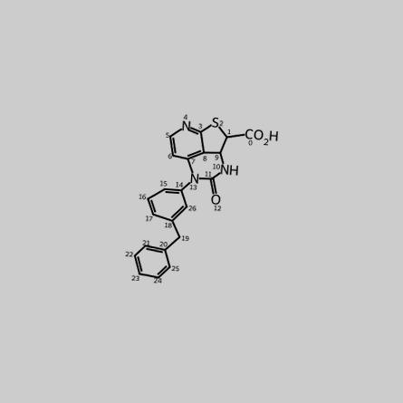 O=C(O)C1Sc2nccc3c2C1NC(=O)N3c1cccc(Cc2ccccc2)c1